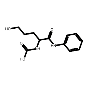 O=C(O)NC(CCCO)C(=O)Nc1ccccc1